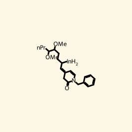 CCCC(OC)C(CC[CH]([InH2])C=C1C=CN(Cc2ccccc2)C(=O)C1)OC